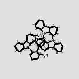 N#Cc1ccc2c3ccccc3n(-c3cccc(C#N)c3-c3ccc(-n4c5ccccc5c5cccc(-n6c7ccccc7c7ccccc76)c54)cc3)c2c1